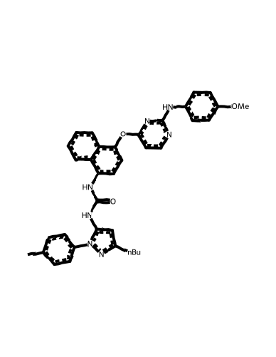 CCCCc1cc(NC(=O)Nc2ccc(Oc3ccnc(Nc4ccc(OC)cc4)n3)c3ccccc23)n(-c2ccc(C)cc2)n1